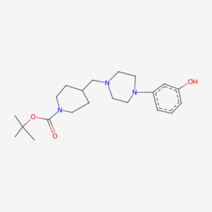 CC(C)(C)OC(=O)N1CCC(CN2CCN(c3cccc(O)c3)CC2)CC1